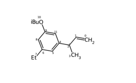 C=C[C](C)c1cc(CC)cc(OCC(C)C)c1